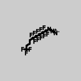 [N-]=[N+]=NC(F)(F)C(F)(F)C(F)(F)C(F)(F)C(F)(F)CCCC(F)(F)F